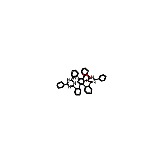 N#Cc1cc(-c2ccccc2-c2nc(-c3ccccc3)nc(-c3ccccc3)n2)c(-c2ccccc2-c2nc(-c3ccccc3)nc(-c3ccccc3)n2)c2ccccc12